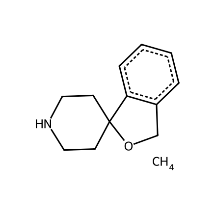 C.c1ccc2c(c1)COC21CCNCC1